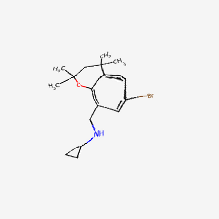 CC1(C)CC(C)(C)c2cc(Br)cc(CNC3CC3)c2O1